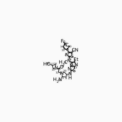 CCc1nc2sc(N[C@H]3CC(N)N(CC(=O)N4CC(O)C4)C3)nn2c1N(C)c1nc(-c2ccc(F)cc2)c(C#N)s1